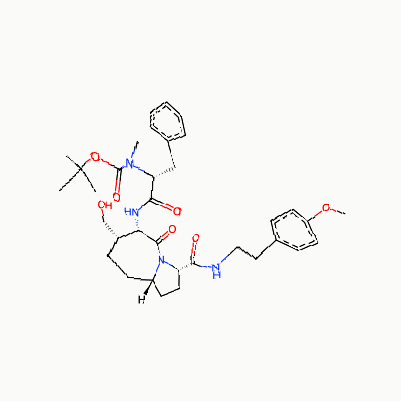 COc1ccc(CCNC(=O)[C@@H]2CC[C@@H]3CC[C@H](CO)[C@H](NC(=O)[C@@H](Cc4ccccc4)N(C)C(=O)OC(C)(C)C)C(=O)N32)cc1